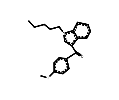 CCCCCn1cc(C(=O)c2ccc(OC)cc2)c2ccccc21